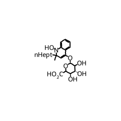 CCCCCCCC1(C)C=C(O[C@@H]2OC(C(=O)O)[C@H](O)[C@@H](O)C2O)c2ccccc2N1O